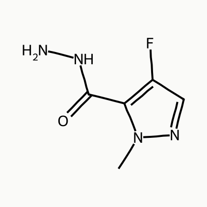 Cn1ncc(F)c1C(=O)NN